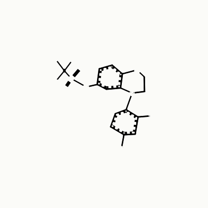 O=S(=O)(Oc1ccc2c(c1)N(c1ccc(Cl)cc1Cl)CCO2)C(F)(F)F